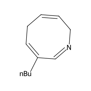 CCCCC1=C/CC=CC/N=C\1